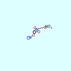 O=C1c2ccc(OCCN3CCCCC3)cc2C(=O)N1CCCCCO[N+](=O)[O-]